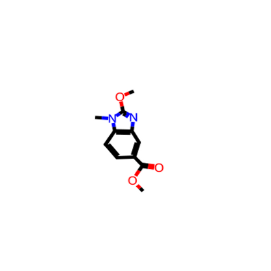 COC(=O)c1ccc2c(c1)nc(OC)n2C